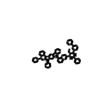 CCC1C(c2cccc(-c3ccccc3)c2)=NC(c2ccccc2)=NC1c1ccc2c(-n3c4ccccc4c4cc5c6c7ccccc7c(-c7ccccc7)cc6n(C6=CCCC=C6)c5cc43)cccc2c1